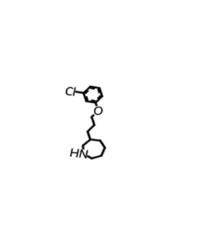 Clc1cccc(OCCCC2CCCCNC2)c1